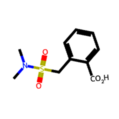 CN(C)S(=O)(=O)Cc1ccccc1C(=O)O